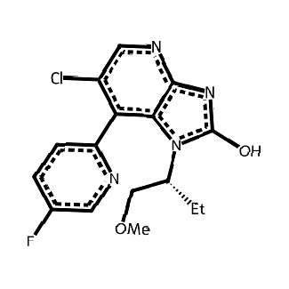 CC[C@H](COC)n1c(O)nc2ncc(Cl)c(-c3ccc(F)cn3)c21